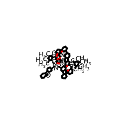 Cc1c(C)c(C)c(B(c2ccccc2)c2cccc(-n3c4ccc(B(c5ccccc5)c5c(C)c(C)c(C)c(C)c5C)cc4c4ccc5c6ccccc6n(-c6cccc(-c7nc(-c8ccc9c(c8)oc8ccccc89)nc(-c8ccc9oc%10ccccc%10c9c8)n7)c6)c5c43)c2)c(C)c1C